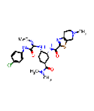 CO/N=C(/N[C@H]1CC[C@H](C(=O)N(C)C)C[C@H]1NC(=O)c1nc2c(s1)CN(C)CC2)C(=O)Nc1ccc(Cl)cc1